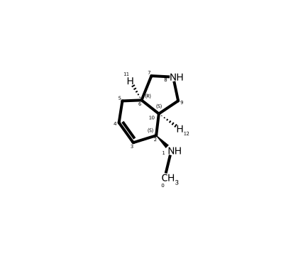 CN[C@H]1C=CC[C@H]2CNC[C@H]21